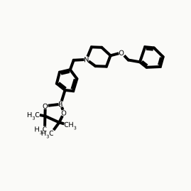 CC1(C)OB(c2ccc(CN3CCC(OCc4ccccc4)CC3)cc2)OC1(C)C